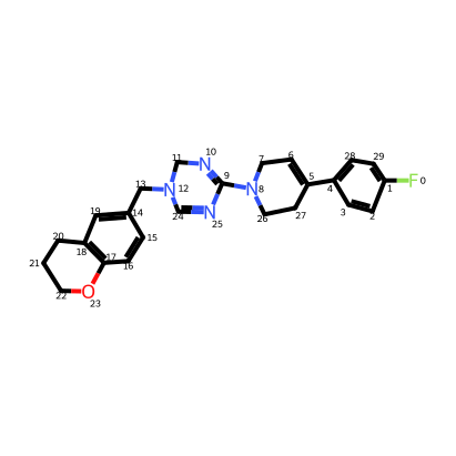 Fc1ccc(C2=CCN(C3=NCN(Cc4ccc5c(c4)CCCO5)C=N3)CC2)cc1